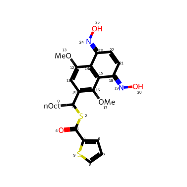 CCCCCCCCC(SC(=O)c1cccs1)c1cc(OC)c2c(c1OC)C(=NO)C=CC2=NO